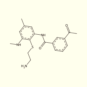 CNc1cc(C)cc(NC(=O)c2cccc(C(C)=O)c2)c1SCCN